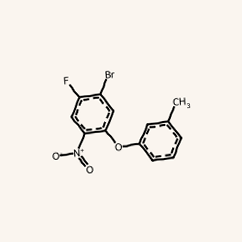 Cc1cccc(Oc2cc(Br)c(F)cc2[N+](=O)[O-])c1